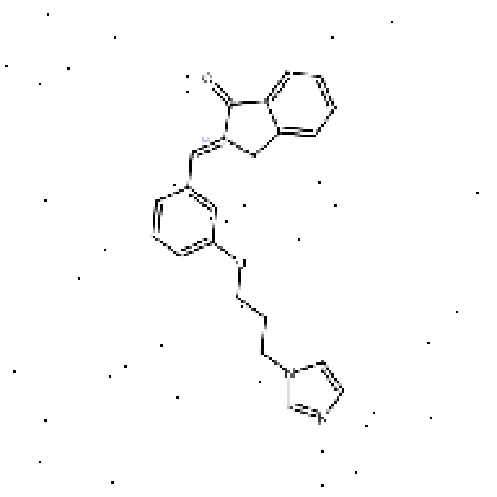 O=C1/C(=C/c2cccc(OCCCn3ccnc3)c2)Cc2ccccc21